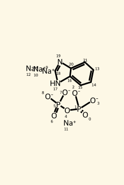 O=P([O-])([O-])OP(=O)([O-])[O-].[Na+].[Na+].[Na+].[Na+].c1ccc2[nH]cnc2c1